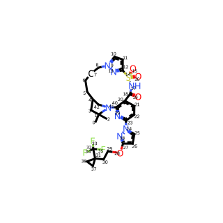 CC1(C)CC2CCCCn3ccc(n3)S(=O)(=O)NC(=O)c3ccc(-n4ccc(OCCC5(C(F)(F)F)CC5)n4)nc3N1C2